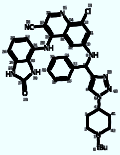 CC(C)(C)N1CCC(n2cc(C(Nc3cc(Cl)c4ncc(C#N)c(Nc5cccc6[nH]c(=O)[nH]c56)c4c3)c3ccccc3)nn2)CC1